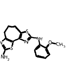 COc1ccccc1Nc1nc2c(s1)CCCc1nc(N)sc1-2